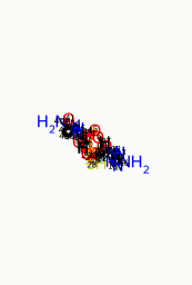 C=C1[C@H]2O[PH](=O)OC[C@H]3O[C@@H](n4cnc5c(N)ncnc54)[C@H](F)[C@@H]3OP(=O)(SS)OC[C@H]1O[C@H]2n1nnc2c(C(N)=O)cccc21